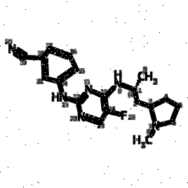 C[C@H](CC1CCCN1C)Nc1nc(Nc2cccc(C#N)c2)ncc1F